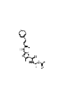 CC(=O)OC(C)NC(=O)c1sc(NC(=O)C=Cc2ccccc2)nc1C